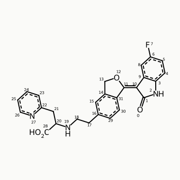 O=C1Nc2ccc(F)cc2/C1=C1\OCc2cc(CCNC(Cc3ccccn3)C(=O)O)ccc21